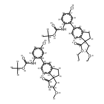 CCOC(=O)C1(CCOC)CCc2cc(-c3cc(Cl)ccc3NC(=O)OC(C)(C)C)cnc21.COCCC1(C(=O)O)CCc2cc(-c3cc(Cl)ccc3NC(=O)OC(C)(C)C)cnc21